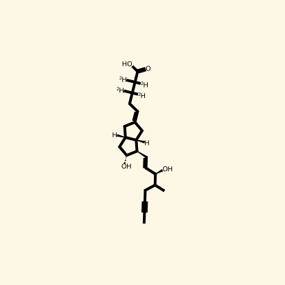 [2H]C([2H])(C/C=C1\C[C@H]2C[C@@H](O)[C@H](/C=C/[C@@H](O)C(C)CC#CC)[C@H]2C1)C([2H])([2H])C(=O)O